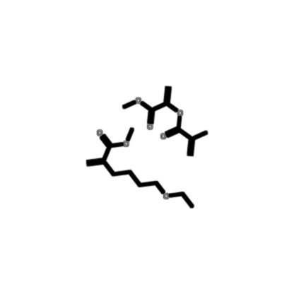 C=C(C)C(=O)OC(=C)C(=O)OC.C=C(CCCCOCC)C(=O)OC